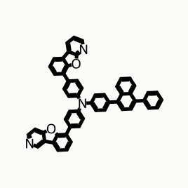 c1ccc(-c2ccc(-c3ccc(N(c4ccc(-c5cccc6c5oc5ccncc56)cc4)c4ccc(-c5cccc6c5oc5ncccc56)cc4)cc3)c3ccccc23)cc1